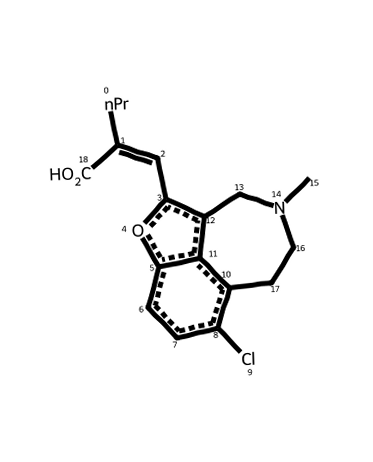 CCCC(=Cc1oc2ccc(Cl)c3c2c1CN(C)CC3)C(=O)O